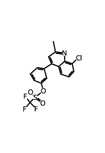 Cc1cc(-c2cccc(OS(=O)(=O)C(F)(F)F)c2)c2cccc(Cl)c2n1